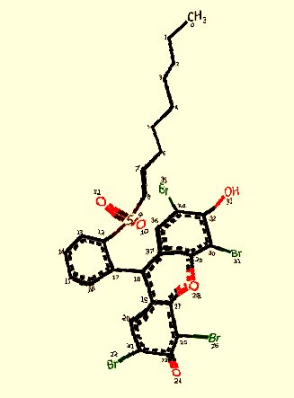 CCCCCCCCCS(=O)(=O)c1ccccc1-c1c2cc(Br)c(=O)c(Br)c-2oc2c(Br)c(O)c(Br)cc12